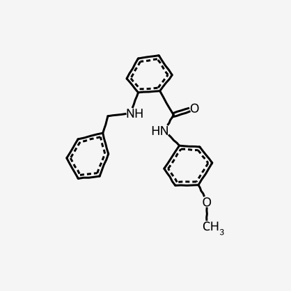 COc1ccc(NC(=O)c2ccccc2NCc2ccccc2)cc1